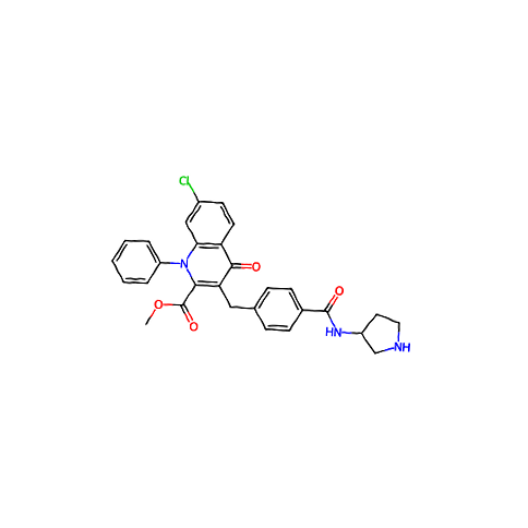 COC(=O)c1c(Cc2ccc(C(=O)NC3CCNC3)cc2)c(=O)c2ccc(Cl)cc2n1-c1ccccc1